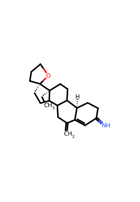 C=C1CC2C(CC[C@@]3(CC)C2CC[C@@]32CCCO2)[C@H]2CCC(=N)C=C12